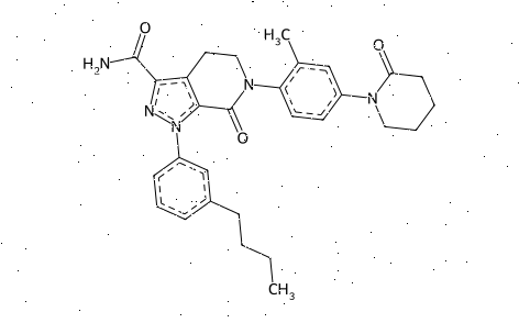 CCCCc1cccc(-n2nc(C(N)=O)c3c2C(=O)N(c2ccc(N4CCCCC4=O)cc2C)CC3)c1